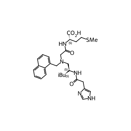 CC[C@H](C)[C@@H](CN(CC(=O)N[C@@H](CCSC)C(=O)O)Cc1cccc2ccccc12)NC(=O)Cc1c[nH]cn1